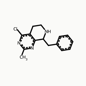 Cc1nc(Cl)c2c(n1)C(Cc1ccccc1)NCC2